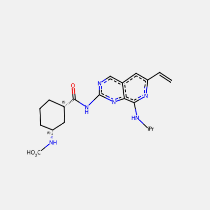 C=Cc1cc2cnc(NC(=O)[C@H]3CCC[C@@H](NC(=O)O)C3)nc2c(NC(C)C)n1